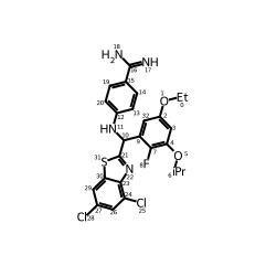 CCOc1cc(OC(C)C)c(F)c(C(Nc2ccc(C(=N)N)cc2)c2nc3c(Cl)cc(Cl)cc3s2)c1